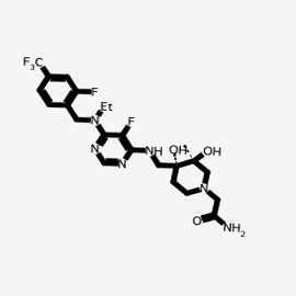 CCN(Cc1ccc(C(F)(F)F)cc1F)c1ncnc(NC[C@]2(O)CCN(CC(N)=O)C[C@]2(C)O)c1F